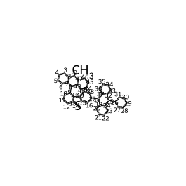 Cc1c2ccccc2c(-c2cccc3sc4cc(-c5c6ccccc6c(-c6ccccc6)c6ccccc56)ccc4c23)c2ccccc12